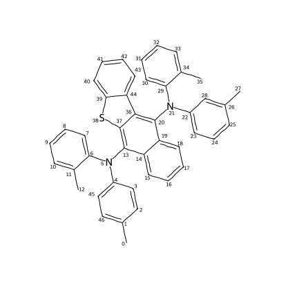 Cc1ccc(N(c2ccccc2C)c2c3ccccc3c(N(c3cccc(C)c3)c3ccccc3C)c3c2sc2ccccc23)cc1